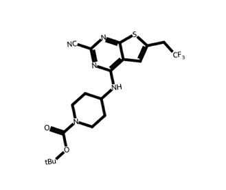 CC(C)(C)OC(=O)N1CCC(Nc2nc(C#N)nc3sc(CC(F)(F)F)cc23)CC1